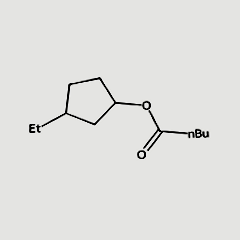 CCCCC(=O)OC1CCC(CC)C1